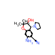 CC1(C)Oc2cc(N)c(C#N)cc2[C@@H](N2CCCC2)[C@@H]1O